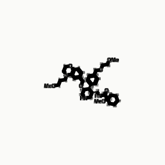 COCCCN1CCOc2ccc(CO[C@H]3CNC[C@@H](CNC(=O)C4(OC)CCCCC4)[C@@H]3c3ccc(COCCOC)cc3)cc21